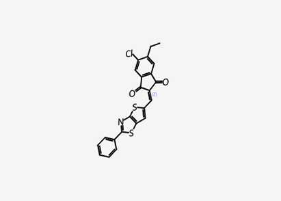 CCc1cc2c(cc1Cl)C(=O)/C(=C\c1cc3sc(-c4ccccc4)nc3s1)C2=O